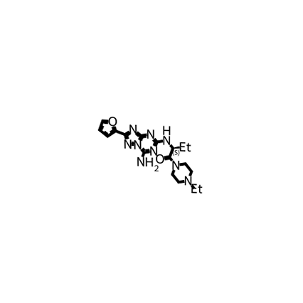 CC[C@H](Nc1nc(N)n2nc(-c3ccco3)nc2n1)C(=O)N1CCN(CC)CC1